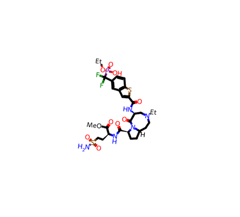 CCOP(=O)(O)C(F)(F)c1ccc2sc(C(=O)N[C@H]3CN(CC)CC[C@H]4CC[C@@H](C(=O)N[C@@H](CCS(N)(=O)=O)C(=O)OC)N4C3=O)cc2c1